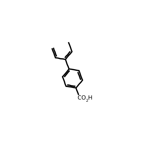 C=C/C(=C\C)c1ccc(C(=O)O)cc1